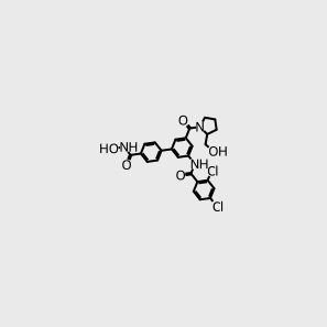 O=C(NO)c1ccc(-c2cc(NC(=O)c3ccc(Cl)cc3Cl)cc(C(=O)N3CCCC3CO)c2)cc1